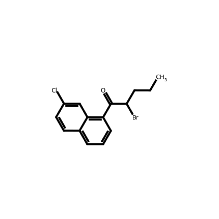 CCCC(Br)C(=O)c1cccc2ccc(Cl)cc12